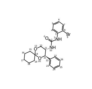 O=C(Nc1ccccc1Br)N[C@H]1COC2(CCCCC2)O[C@@H]1c1ccccc1